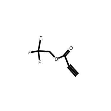 C#CC(=O)OCC(F)(F)F